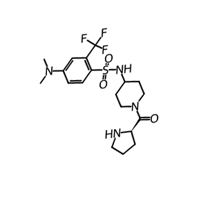 CN(C)c1ccc(S(=O)(=O)NC2CCN(C(=O)[C@H]3CCCN3)CC2)c(C(F)(F)F)c1